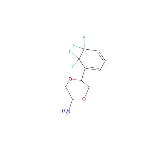 NC1COC(C2=CC=CC(F)(F)C2(F)F)CO1